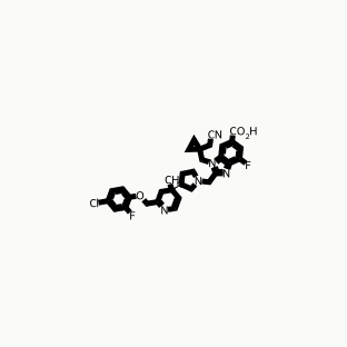 CC1([C@@H]2CCN(Cc3nc4c(F)cc(C(=O)O)cc4n3CC3(CC#N)CC3)C2)C=CN=C(COc2ccc(Cl)cc2F)C1